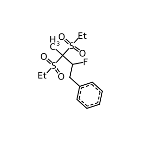 CCS(=O)(=O)C(C)(C(F)Cc1ccccc1)S(=O)(=O)CC